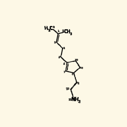 CC(C)=CCCC1=CC(CCN)CC1